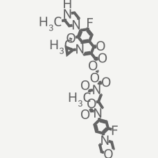 COc1c(N2CCNC(C)C2)c(F)cc2c(=O)c(C(=O)OCOC(=O)N(CC3CN(c4ccc(N5CCOCC5)c(F)c4)C(=O)O3)C(C)=O)cn(C3CC3)c12